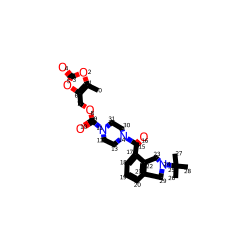 Cc1oc(=O)oc1COC(=O)N1CCN(C(=O)c2cccc3c2CN(C(C)(C)C)C3)CC1